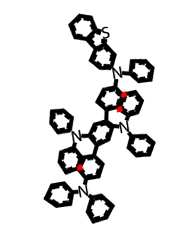 c1ccc(N(c2ccccc2)c2ccc(-c3cc(N(c4ccccc4)c4ccccc4)c(-c4ccc(N(c5ccccc5)c5ccc6c(c5)sc5ccccc56)cc4)cc3N(c3ccccc3)c3ccccc3)cc2)cc1